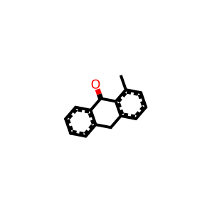 Cc1cccc2c1C(=O)c1ccccc1C2